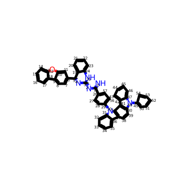 N=C(/N=c1/nc(-c2ccc3c(c2)oc2ccccc23)c2ccccc2[nH]1)c1ccc(-n2c3ccccc3c3ccc4c(c5ccccc5n4-c4ccccc4)c32)cc1